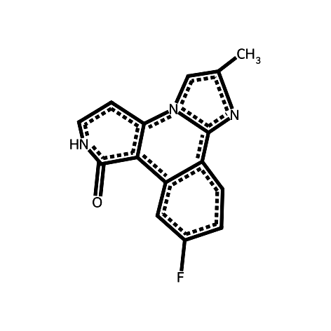 Cc1cn2c3cc[nH]c(=O)c3c3cc(F)ccc3c2n1